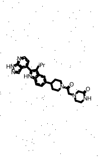 CC(C)c1c(-c2ccnc3[nH]ncc23)[nH]c2ccc(C3CCN(C(=O)CN4CCNC(=O)C4)CC3)cc12